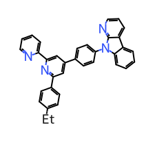 CCc1ccc(-c2cc(-c3ccc(-n4c5ccccc5c5cccnc54)cc3)cc(-c3ccccn3)n2)cc1